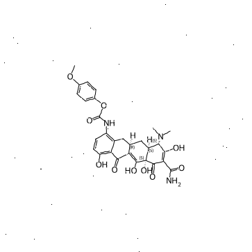 COc1ccc(OC(=O)Nc2ccc(O)c3c2C[C@H]2C[C@H]4[C@H](N(C)C)C(O)=C(C(N)=O)C(=O)[C@@]4(O)C(O)=C2C3=O)cc1